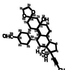 CC#C[C@]1(O)CCC2C3CC[C@@]4(O)CC5(CCC4=C3[C@@H](C3CCC(C=O)CC3)C[C@@]21C)OCCO5